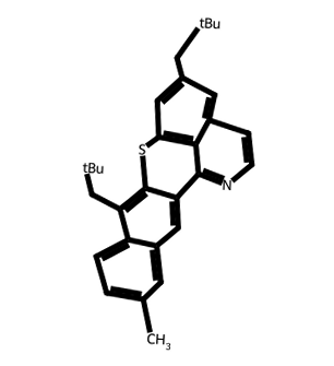 Cc1ccc2c(CC(C)(C)C)c3c(cc2c1)-c1nccc2cc(CC(C)(C)C)cc(c12)S3